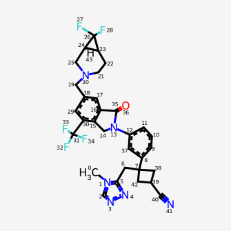 Cn1cnnc1CC1(c2cccc(N3Cc4c(cc(CN5CCC6[C@H](C5)C6(F)F)cc4C(F)(F)F)C3=O)c2)CC(C#N)C1